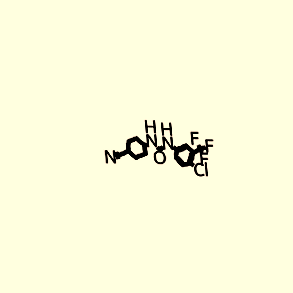 N#CC1CCC(NC(=O)Nc2ccc(Cl)c(C(F)(F)F)c2)CC1